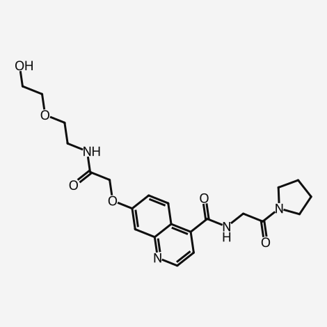 O=C(COc1ccc2c(C(=O)NCC(=O)N3CCCC3)ccnc2c1)NCCOCCO